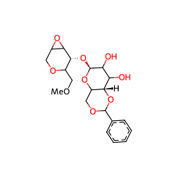 COCC1OCC2OC2[C@@H]1O[C@@H]1OC2COC(c3ccccc3)O[C@H]2C(O)C1O